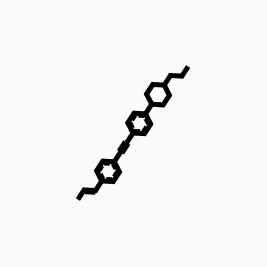 CC=Cc1ccc(C#Cc2ccc(C3CCC(CCC)CC3)cc2)cc1